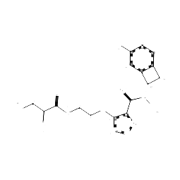 N=C(c1nonc1SCCNC(=O)C(O)CO)N(O)[C@H]1Cc2ccc(F)cc21